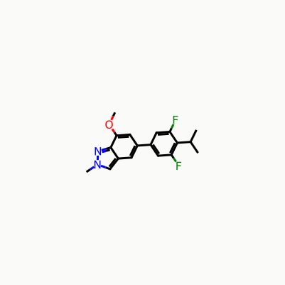 COc1cc(-c2cc(F)c(C(C)C)c(F)c2)cc2cn(C)nc12